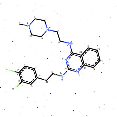 CN1CCN(CCNc2nc(NCCc3ccc(F)c(F)c3)nc3ccccc23)CC1